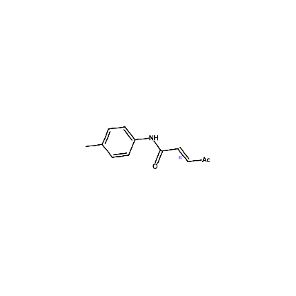 CC(=O)/C=C/C(=O)Nc1ccc(C)cc1